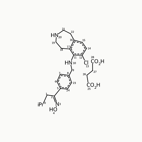 CC(C)CC(=NO)c1ccc(CNc2c(Cl)ccc3c2CCNCC3)cc1.O=C(O)CCC(=O)O